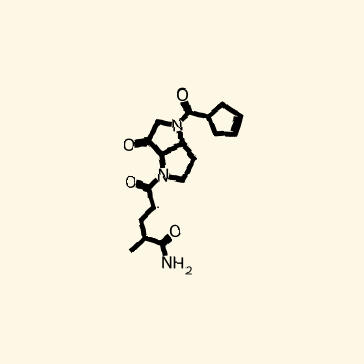 CC(C[CH]C(=O)N1CCC2C1C(=O)CN2C(=O)C1CC=CC1)C(N)=O